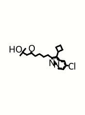 CC(C)(O)CC(=O)CCCCc1nn2ccc(Cl)cc2c1C1CCC1